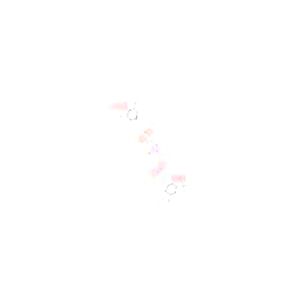 CC(C)(C)c1cc(CCC(=O)OCCN2C(C)(C)CC(OC(=O)CCc3cc(C(C)(C)C)c(O)c(C(C)(C)C)c3)CC2(C)C)c(O)c(C(C)(C)C)c1